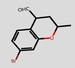 CC1CC(C=O)c2ccc(Br)cc2O1